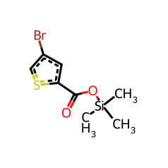 C[Si](C)(C)OC(=O)c1cc(Br)cs1